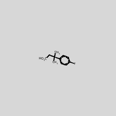 CC(C)(CC(=O)O)c1ccc(F)cc1